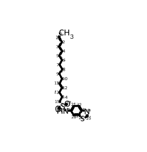 CCCCCCCCCCCCCCCCS(=O)(=O)Nc1ccc2n[c]sc2c1